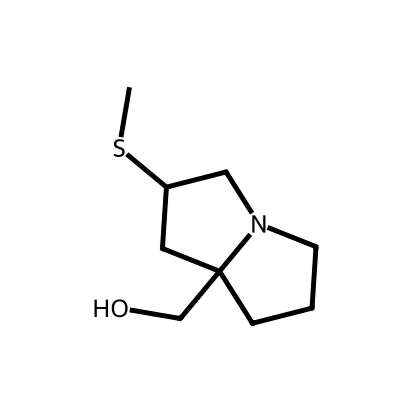 CSC1CN2CCCC2(CO)C1